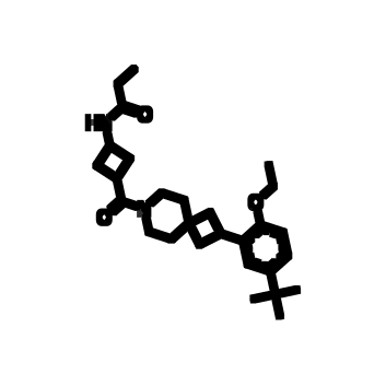 CCOc1ccc(C(C)(C)C)cc1C1CC2(CCN(C(=O)C3CC(NC(=O)CC)C3)CC2)C1